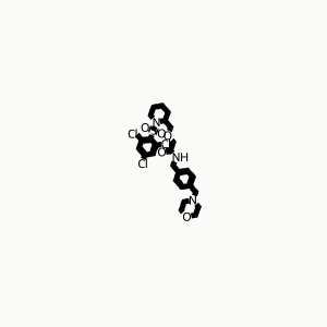 O=C(COCC1CCCCN1S(=O)(=O)c1c(Cl)cc(Cl)cc1Cl)NCc1ccc(CN2CCOCC2)cc1